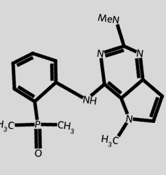 CNc1nc(Nc2ccccc2P(C)(C)=O)c2c(ccn2C)n1